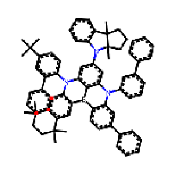 CC(C)(C)c1ccc(N2c3cc4c(cc3B3c5ccc(-c6ccccc6)cc5N(c5cccc(-c6ccccc6)c5)c5cc(N6c7ccccc7C7(C)CCCC67C)cc2c53)C(C)(C)CCC4(C)C)c(-c2ccccc2)c1